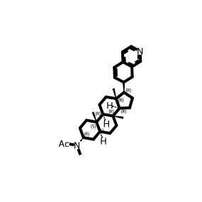 CC(=O)N(C)[C@@H]1CC[C@@]2(C)[C@@H](CC[C@]3(C)[C@@H]2CC[C@@]2(C)[C@H]3CC[C@@H]2C2C=Cc3ccncc3C2)C1